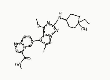 CCC1(O)CCC(Nc2nc(OC)c3c(-c4ccc5ncc(C(=O)NC)n5c4)c(F)cn3n2)CC1